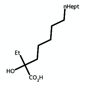 CCCCCCCCCCCCC(O)(CC)C(=O)O